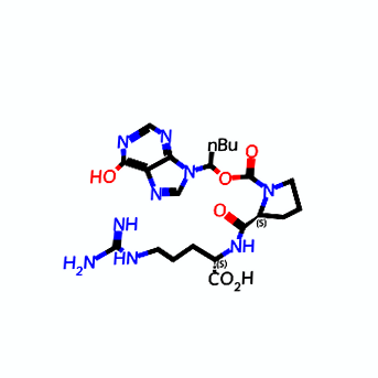 CCCCC(OC(=O)N1CCC[C@H]1C(=O)N[C@@H](CCCNC(=N)N)C(=O)O)n1cnc2c(O)ncnc21